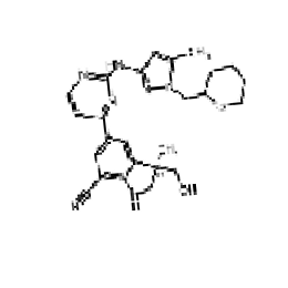 Cc1cc(Nc2nccc(-c3cc(C#N)c4c(c3)[C@@](C)(CO)CN4)n2)nn1CC1CCCCO1